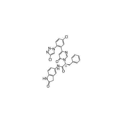 O=C1Cc2cc(NC(=O)[C@H](Cc3ccccc3)n3cnc(-c4cc(Cl)ccc4-n4cc(Cl)nn4)cc3=O)ccc2N1